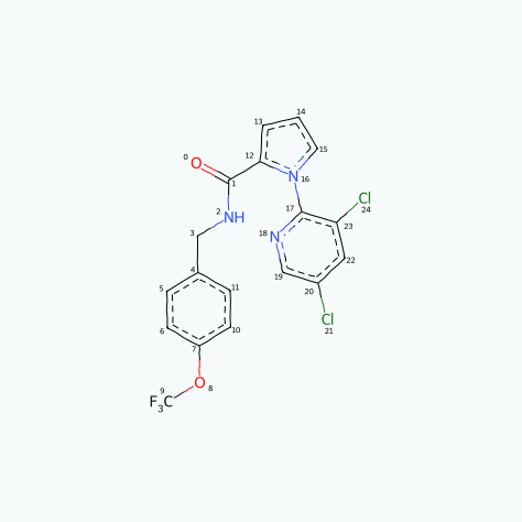 O=C(NCc1ccc(OC(F)(F)F)cc1)c1cccn1-c1ncc(Cl)cc1Cl